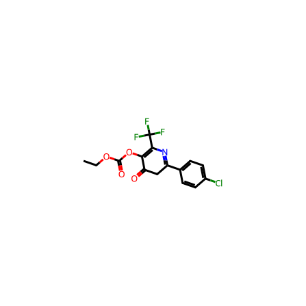 CCOC(=O)OC1=C(C(F)(F)F)N=C(c2ccc(Cl)cc2)CC1=O